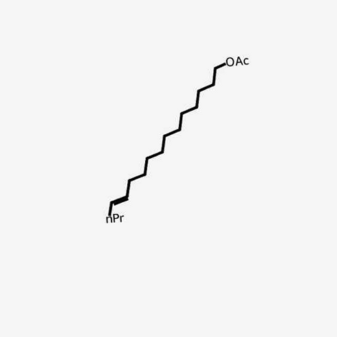 CCCC=CCCCCCCCCCCCOC(C)=O